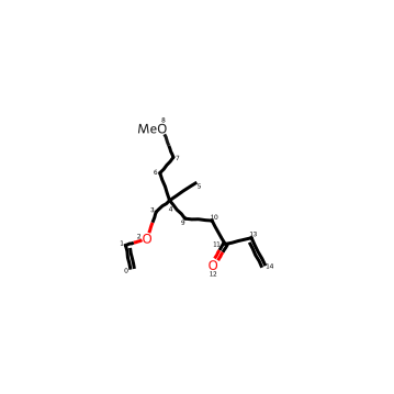 C=COCC(C)(CCOC)CCC(=O)C=C